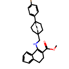 COC(=O)C1=C(NCC23CCC(c4ccc(Br)cc4)(CC2)CC3)c2ccccc2CC1